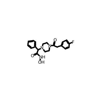 O=C(NO)C(c1ccccc1)N1CCN(C(=O)Cc2ccc(F)cc2)CC1